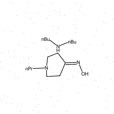 CCCCNCCCC.CCCN1CCC(=NO)CC1